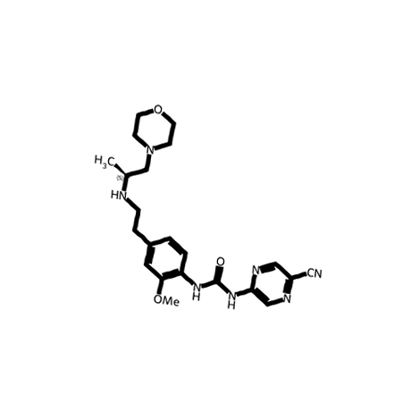 COc1cc(CCN[C@@H](C)CN2CCOCC2)ccc1NC(=O)Nc1cnc(C#N)cn1